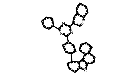 c1ccc(-c2nc(-c3ccc(-c4cccc5oc6ccc7ccccc7c6c45)cc3)nc(-c3ccc4ccccc4c3)n2)cc1